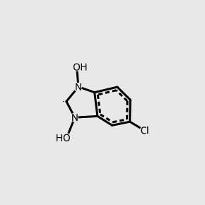 ON1[CH]N(O)c2cc(Cl)ccc21